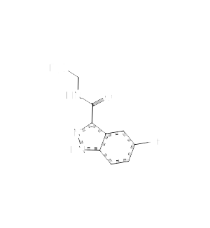 CCc1ccc2[nH]nc(C(=O)NCC(F)(F)F)c2c1